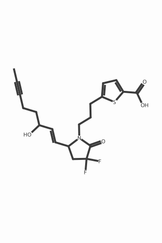 CC#CCCC(O)/C=C/C1CC(F)(F)C(=O)N1CCCc1ccc(C(=O)O)s1